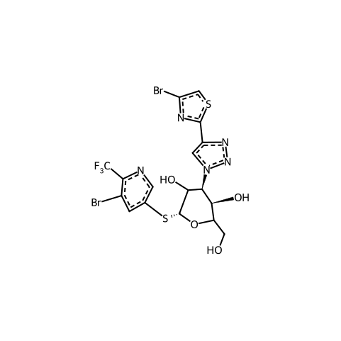 OCC1O[C@H](Sc2cnc(C(F)(F)F)c(Br)c2)C(O)[C@@H](n2cc(-c3nc(Br)cs3)nn2)[C@H]1O